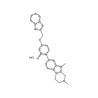 CN1CCc2c(n(C)c3cc(-n4ccc(OCc5cn6ccccc6n5)cc4=O)ccc23)C1.Cl